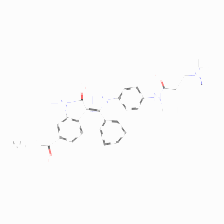 CCN(CC)CCC(=O)N(C)c1ccc(N/C(=C2\C(=O)Nc3cc(C(=O)OC)ccc32)c2ccccc2)cc1